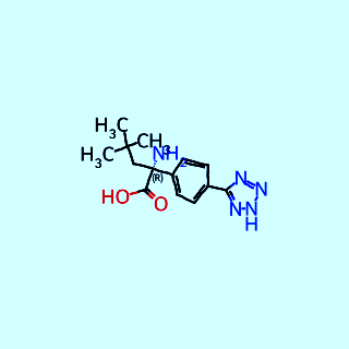 CC(C)(C)C[C@](N)(C(=O)O)c1ccc(-c2nn[nH]n2)cc1